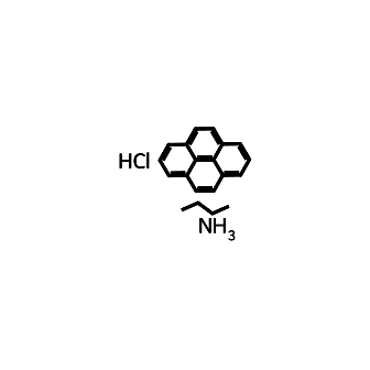 CCCC.Cl.N.c1cc2ccc3cccc4ccc(c1)c2c34